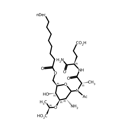 CCCCCCCCCCCCCCCCCC(=O)OC[C@H]1OC(N(C(C)=O)[C@@H](C)C(=O)N[C@H](CCC(=O)O)C(N)=O)[C@H](N)[C@@H](O[C@H](C)C(=O)O)[C@@H]1O